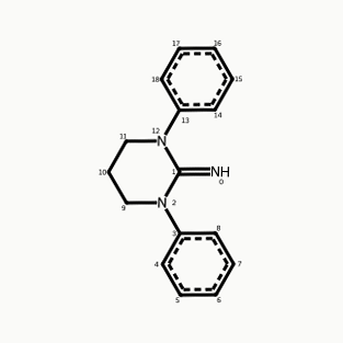 N=C1N(c2ccccc2)CCCN1c1ccccc1